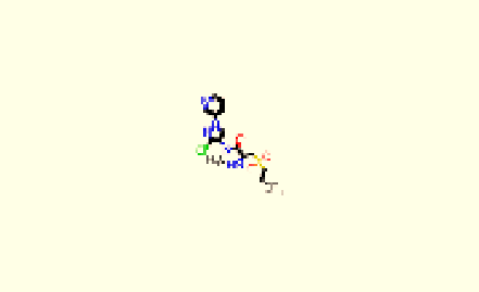 CN(C(=O)C(=N)CS(=O)(=O)CCC(F)(F)F)c1cn(-c2cccnc2)nc1Cl